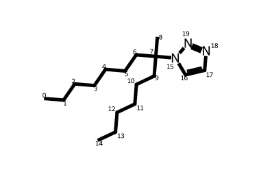 CCCCCCCC(C)(CCCCCC)n1ccnn1